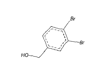 OCc1ccc(Br)c(Br)c1